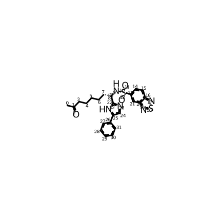 CC(=O)CCCCC[C@H](NS(=O)(=O)c1ccc2nsnc2c1)c1ncc(-c2ccccc2)[nH]1